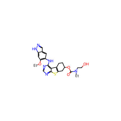 CCOc1cc2[nH]ncc2cc1Nc1ncnc2sc3c(c12)CCC(OC(=O)N(CC)CCO)C3